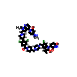 CNc1ccn(-c2ccnc3c2cc(CN2CCC(c4c(F)cc(C(=O)N5CCC(CN6CCN(Cc7cc8c(cc7F)N([C@H]7CCC(=O)NC7=O)C(=O)C87CC7)CC6)CC5)cc4F)CC2)n3C)c(=O)c1